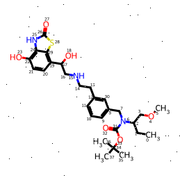 CCC(COC)N(Cc1cccc(CCNCC(O)c2ccc(O)c3[nH]c(=O)sc23)c1)C(=O)OC(C)(C)C